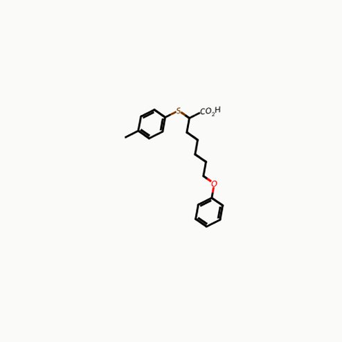 Cc1ccc(SC(CCCCCOc2ccccc2)C(=O)O)cc1